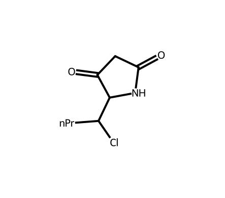 CCCC(Cl)C1NC(=O)CC1=O